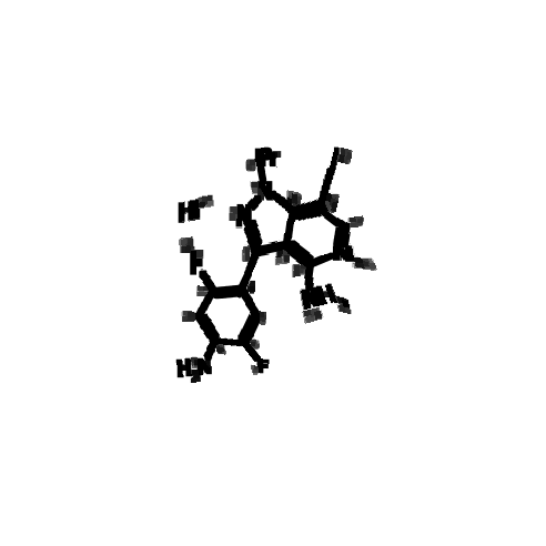 CC(C)n1nc(-c2cc(F)c(N)cc2F)c2c(N)ncc(I)c21.I